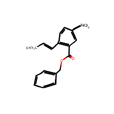 CCOC(=O)C=Cc1ccc([N+](=O)[O-])cc1C(=O)OCc1ccccc1